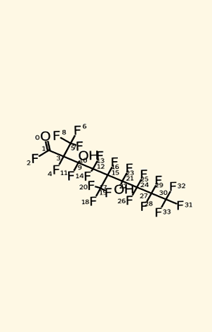 O=C(F)C(F)(C(F)(F)F)C(O)(F)C(F)(F)C(F)(C(F)(F)F)C(O)(F)C(F)(F)C(F)(F)C(F)(F)F